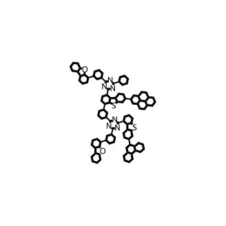 c1ccc(-c2nc(-c3cccc(-c4cccc5c4oc4ccccc45)c3)nc(-c3ccc(-c4cccc(-c5nc(-c6cccc(-c7cccc8c7oc7ccccc78)c6)nc(-c6cccc7sc8cc(-c9cc%10ccccc%10c%10ccccc9%10)ccc8c67)n5)c4)c4sc5cc(-c6cc7ccc8cccc9ccc(c6)c7c89)ccc5c34)n2)cc1